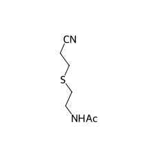 CC(=O)NCCSCCC#N